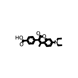 CCN(CC)c1ccc2c(C)c(-c3ccc(C(=O)O)cc3)c(=O)oc2c1